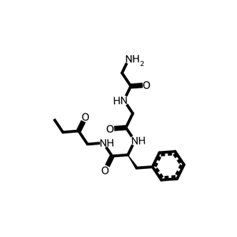 CCC(=O)CNC(=O)[C@H](Cc1ccccc1)NC(=O)CNC(=O)CN